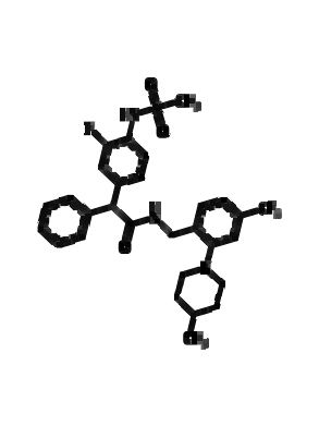 CC1CCN(c2cc(C(F)(F)F)ccc2CNC(=O)C(c2ccccc2)c2ccc(NS(C)(=O)=O)c(F)c2)CC1